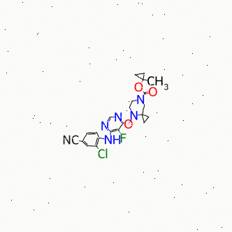 CC1(OC(=O)N2CCN(Oc3ncnc(Nc4ccc(C#N)cc4Cl)c3F)C3(CC3)C2)CC1